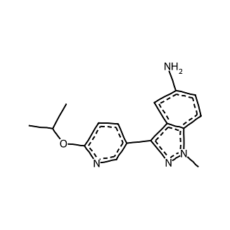 CC(C)Oc1ccc(-c2nn(C)c3ccc(N)cc23)cn1